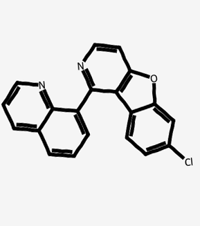 Clc1ccc2c(c1)oc1ccnc(-c3cccc4cccnc34)c12